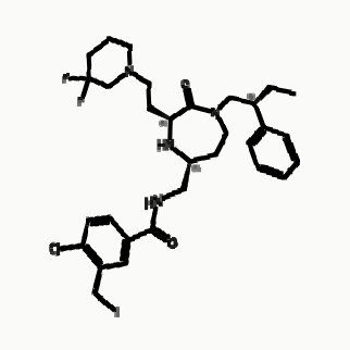 CC[C@H](CN1CC[C@@H](CNC(=O)c2ccc(Cl)c(CI)c2)N[C@@H](CCN2CCCC(F)(F)C2)C1=O)c1ccccc1